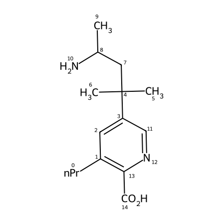 CCCc1cc(C(C)(C)CC(C)N)cnc1C(=O)O